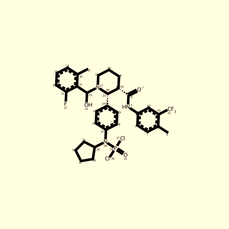 Cc1ccc(NC(=O)[C@H]2CCCN(C(O)c3c(C)cccc3F)[C@H]2c2ccc(N(C3CCCC3)P(=O)(Cl)Cl)cc2)cc1C(F)(F)F